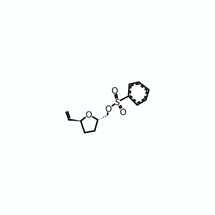 C=C[C@@H]1CC[C@@H](COS(=O)(=O)c2ccccc2)O1